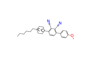 CCCCCCC12CCC(c3ccc(-c4ccc(OC)cc4)c(C#N)c3C#N)(CC1)CC2